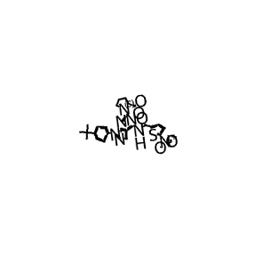 COC(=O)[C@@H]1CCCN1c1nc(NC(=O)c2ccc([N+](=O)[O-])s2)c2cnn(-c3ccc(C(C)(C)C)cc3)c2n1